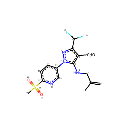 C=C(C)CNc1c(C=O)c(C(F)F)nn1-c1ccc(S(C)(=O)=O)nc1